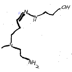 CN(CCN)CC/C=N\NCCO